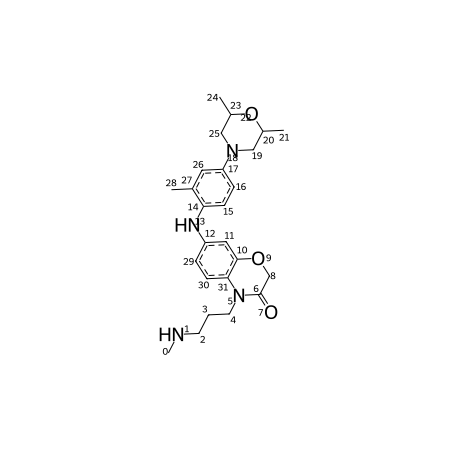 CNCCCN1C(=O)COc2cc(Nc3ccc(N4CC(C)OC(C)C4)cc3C)ccc21